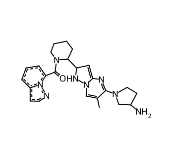 CC1=CN2NC(C3CCCCN3C(=O)c3cccc4ccnn34)C=C2N=C1N1CCC(N)C1